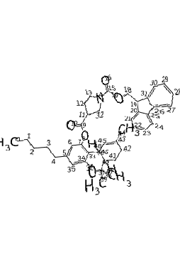 CCCCCc1cc(OC(=O)C2CCN(C(=O)OCC3c4ccccc4-c4ccccc43)C2)c2c(c1)OC(C)(C)[C@@H]1CCC(C)=C[C@@H]21